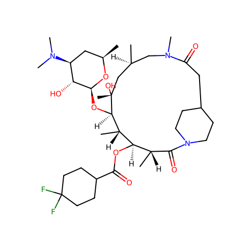 C[C@H]1CN(C)C(=O)CC2CCN(CC2)C(=O)[C@H](C)[C@@H](OC(=O)C2CCC(F)(F)CC2)[C@H](C)[C@@H](O[C@@H]2O[C@H](C)C[C@H](N(C)C)[C@H]2O)[C@](C)(O)C1